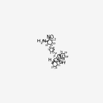 CC(C)(CCc1ccc(-c2ccc([N+](=O)[O-])c(N)c2)s1)[Si](O)(c1ccccc1)c1ccccc1